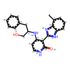 Cc1cccc2[nH]c(-c3c(NC(CO)Cc4ccccc4)cc[nH]c3=O)nc12